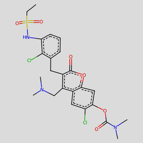 CCS(=O)(=O)Nc1cccc(Cc2c(CN(C)C)c3cc(Cl)c(OC(=O)N(C)C)cc3oc2=O)c1Cl